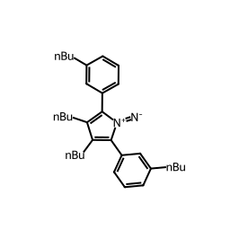 CCCCC1=C(c2cccc(CCCC)c2)[N+](=[N-])C(c2cccc(CCCC)c2)=C1CCCC